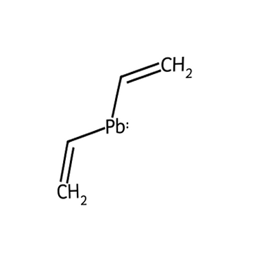 C=[CH][Pb][CH]=C